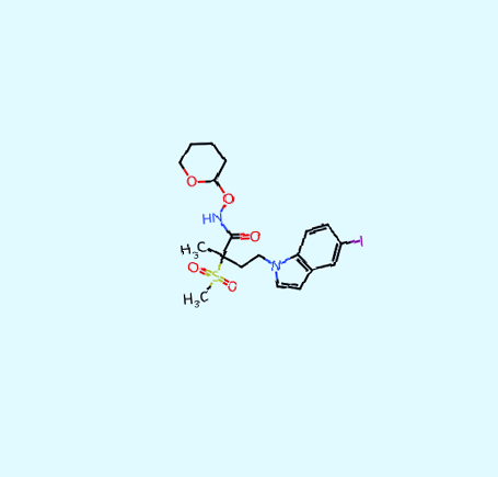 CC(CCn1ccc2cc(I)ccc21)(C(=O)NOC1CCCCO1)S(C)(=O)=O